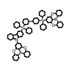 c1ccc([Si](c2ccccc2)(c2ccc(-c3cccc([Si](c4ccccc4)(c4ccccc4)c4ccc5c(c4)c4ccccc4n5-c4cc5c6c(c4)Oc4ccccc4B6c4ccccc4O5)c3)cc2)c2cc3c4c(c2)Oc2ccccc2B4c2ccccc2O3)cc1